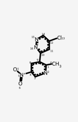 Cc1ncc([N+](=O)[O-])cc1-c1cc(Cl)cnn1